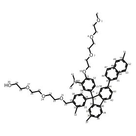 COCCOCCOCCOc1ccc(C2(c3ccc(COCCOCCOCCO)c(C)c3)c3cc(C)ccc3-c3ccc(-c4ccc5cc(C)ccc5c4)cc32)cc1N(C)C